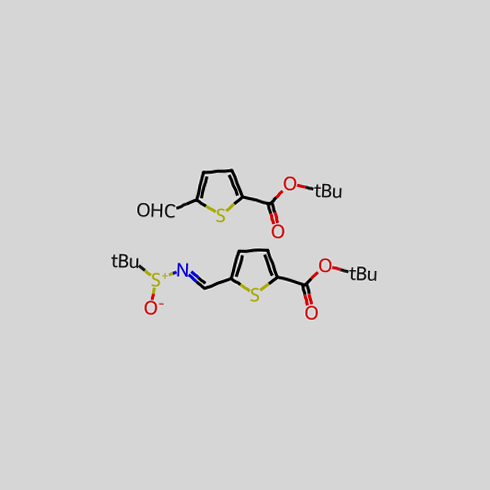 CC(C)(C)OC(=O)c1ccc(C=N[S+]([O-])C(C)(C)C)s1.CC(C)(C)OC(=O)c1ccc(C=O)s1